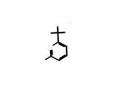 O=C(O)C(F)(F)c1cccc(F)n1